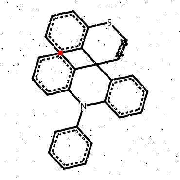 c1ccc(N2c3ccccc3C3(c4ccccc4Sc4ccccc43)c3ccccc32)cc1